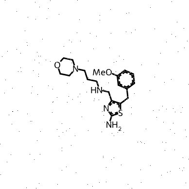 COc1cccc(Cc2sc(N)nc2CNCCCN2CCOCC2)c1